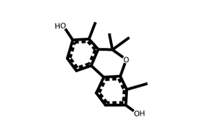 Cc1c(O)ccc2c1OC(C)(C)c1c-2ccc(O)c1C